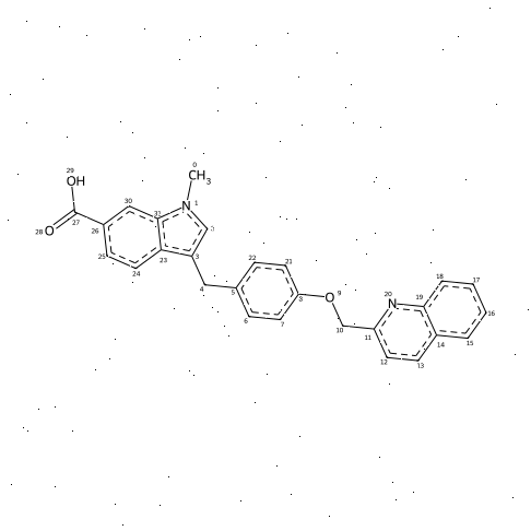 Cn1cc(Cc2ccc(OCc3ccc4ccccc4n3)cc2)c2ccc(C(=O)O)cc21